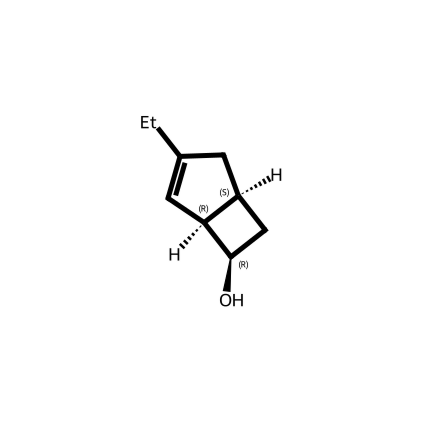 CCC1=C[C@H]2[C@@H](C1)C[C@H]2O